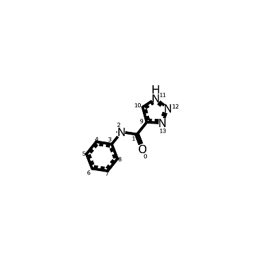 O=C([N]c1ccccc1)c1c[nH]nn1